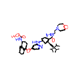 CC(C)[Si](C#Cc1cc(Nc2cc(Oc3ccc(NC(=O)O)c4ccccc34)ccn2)ccc1C(=O)NCCN1CCOCC1)(C(C)C)C(C)C